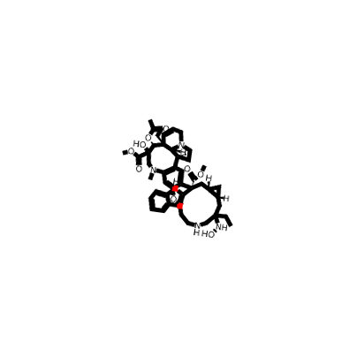 CCC1(NO)CNCCc2c([nH]c3ccccc23)[C@@](C(=O)OC)(c2cc3c(cc2OC)N(C)CC(O)(C(=O)OC)[C@H](OC(C)=O)[C@]2(CC)C=CCN4CC[C@]3(C)[C@@H]42)C[C@@H]2C[C@@H]2C1